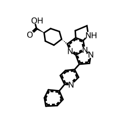 O=C(O)[C@H]1CC[C@H](c2nc3c(-c4ccc(-c5ccccc5)nc4)cnn3c3c2CCN3)CC1